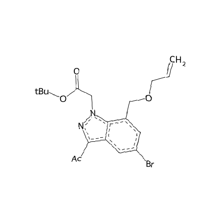 C=CCOCc1cc(Br)cc2c(C(C)=O)nn(CC(=O)OC(C)(C)C)c12